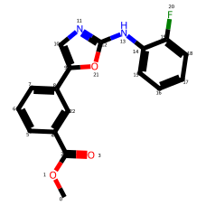 COC(=O)c1cccc(-c2cnc(Nc3ccccc3F)o2)c1